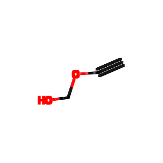 C#COCO